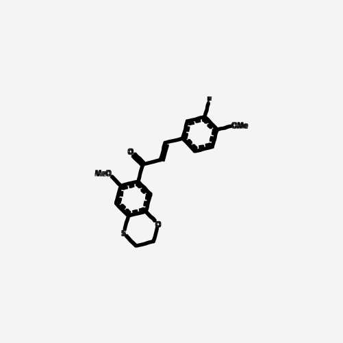 COc1ccc(C=CC(=O)c2cc3c(cc2OC)SCCO3)cc1F